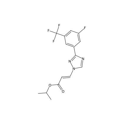 CC(C)OC(=O)C=Cn1cnc(-c2cc(F)cc(C(F)(F)F)c2)n1